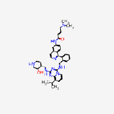 CC(C)C1=C2N=C(NC[C@H]3CCNC[C@@H]3O)N=C(NCc3ccccc3-c3nccc4cc(NC(=O)/C=C/CN(C)C)ccc34)N2C=C=C1